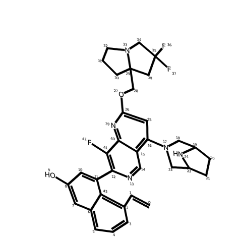 C=Cc1cccc2cc(O)cc(-c3ncc4c(N5CC6CCC(C5)N6)cc(OCC56CCCN5CC(F)(F)C6)nc4c3F)c12